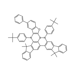 CC(C)(C)c1ccc(N2B3c4oc5ccc(-c6ccccc6)cc5c4N(c4ccc(C(C)(C)C)cc4)c4c3c(cc3c4C(C)(C)c4ccccc4-3)-c3cc4c(cc32)-c2ccccc2C4(C)C)cc1